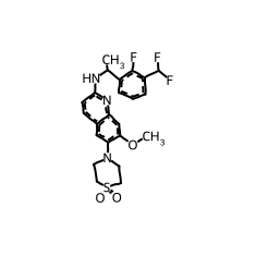 COc1cc2nc(NC(C)c3cccc(C(F)F)c3F)ccc2cc1N1CCS(=O)(=O)CC1